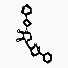 O=C1C(=O)N([C@H]2C[C@@H](c3ccccc3)C2)CCN1Cc1ccc(-c2ccccc2)nn1